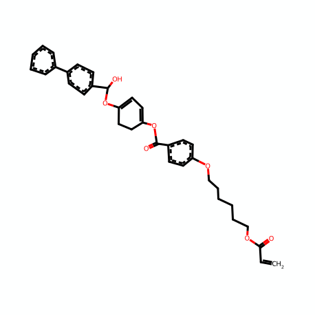 C=CC(=O)OCCCCCCOc1ccc(C(=O)OC2=CC=C(OC(O)c3ccc(-c4ccccc4)cc3)CC2)cc1